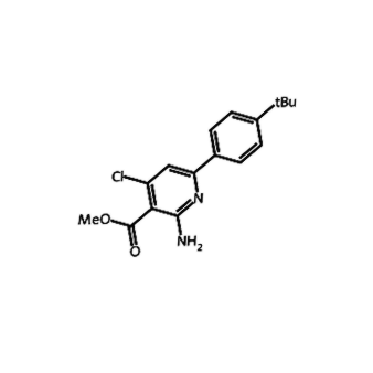 COC(=O)c1c(Cl)cc(-c2ccc(C(C)(C)C)cc2)nc1N